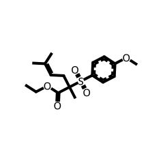 CCOC(=O)C(C)(CC=C(C)C)S(=O)(=O)c1ccc(OC)cc1